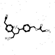 C=CC(=O)OCc1ccc(C(C)CC(CC)c2ccc(CC#N)cc2)cc1